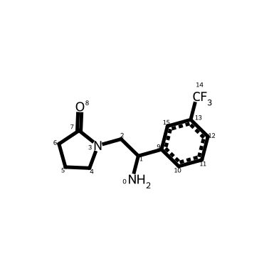 NC(CN1CCCC1=O)c1cccc(C(F)(F)F)c1